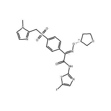 Cn1ccnc1CS(=O)(=O)c1ccc(/C(=N\O[C@@H]2CCOC2)C(=O)Nc2ncc(F)s2)cc1